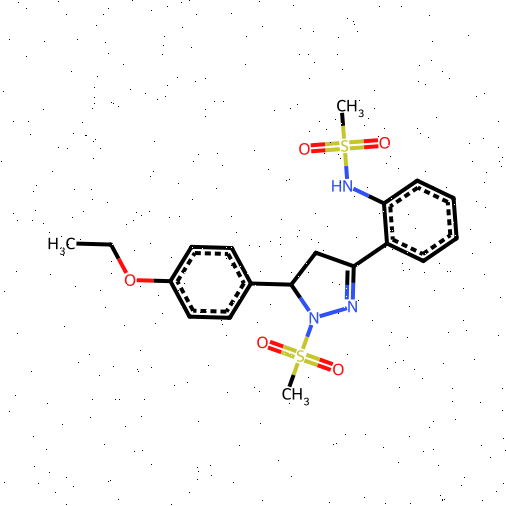 CCOc1ccc(C2CC(c3ccccc3NS(C)(=O)=O)=NN2S(C)(=O)=O)cc1